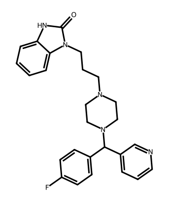 O=c1[nH]c2ccccc2n1CCCN1CCN(C(c2ccc(F)cc2)c2cccnc2)CC1